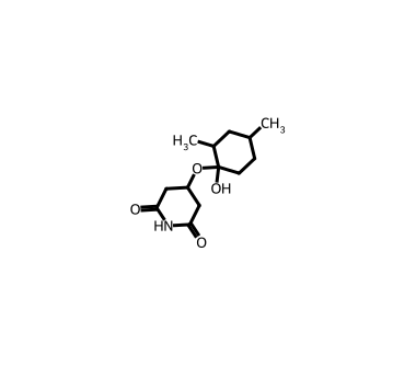 CC1CCC(O)(OC2CC(=O)NC(=O)C2)C(C)C1